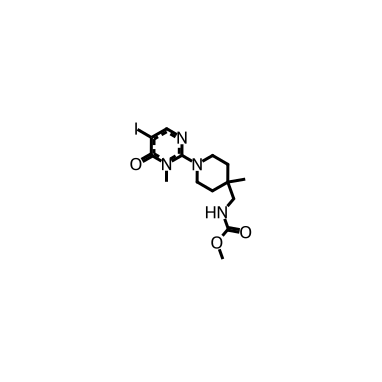 COC(=O)NCC1(C)CCN(c2ncc(I)c(=O)n2C)CC1